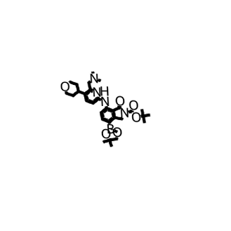 CN(C)Cc1nc(Nc2ccc(B3OCC(C)(C)O3)c3c2C(=O)N(C(=O)OC(C)(C)C)C3)ccc1C1CCOCC1